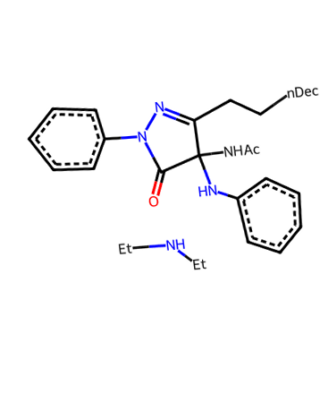 CCCCCCCCCCCCC1=NN(c2ccccc2)C(=O)C1(NC(C)=O)Nc1ccccc1.CCNCC